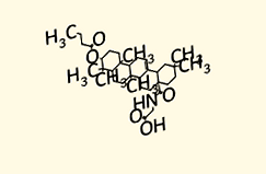 CCCC(=O)O[C@@H]1CC[C@@]2(C)C(CC[C@@]3(C)C4CC[C@@]5(C(=O)NCC(=O)O)CCC(C)(C)CC5C4=CCC32)C1(C)C